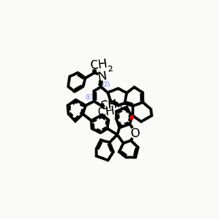 C=C(/N=C(\C=C(/C(=C)C)c1ccccc1-c1ccc(C2(C3=CCCC=C3)c3ccccc3OC3C=CC=CC32)cc1)C1C=CC2=C3CCCCC3=CCC2C1)C1=CCCC=C1